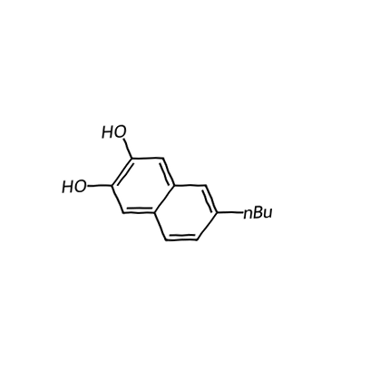 CCCCc1ccc2cc(O)c(O)cc2c1